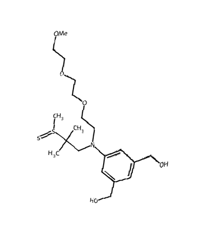 COCCOCCOCCN(CC(C)(C)S(C)=S)c1cc(CO)cc(CO)c1